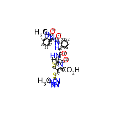 Cn1nnnc1SCC1=C(C(=O)O)N2C(=O)C(NC(=O)Cc3ccccc3NC(=O)n3c(=O)n(C)c4ccccc43)[C@H]2SC1